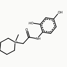 C[N+]1(CC(=O)Nc2ccc(O)cc2O)CCCCC1